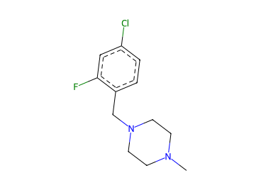 CN1CCN(Cc2ccc(Cl)cc2F)CC1